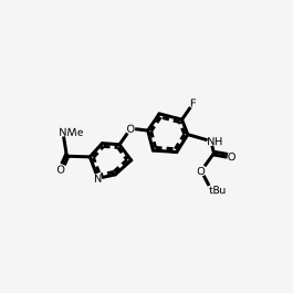 CNC(=O)c1cc(Oc2ccc(NC(=O)OC(C)(C)C)c(F)c2)ccn1